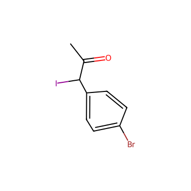 CC(=O)C(I)c1ccc(Br)cc1